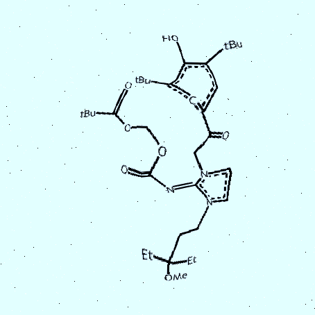 CCC(CC)(CCn1ccn(CC(=O)c2cc(C(C)(C)C)c(O)c(C(C)(C)C)c2)c1=NC(=O)OCOC(=O)C(C)(C)C)OC